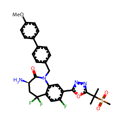 COc1ccc(-c2ccc(CN3C(=O)[C@H](N)CC(F)(F)c4cc(F)c(-c5nnc(C(C)(C)S(C)(=O)=O)o5)cc43)cc2)cc1